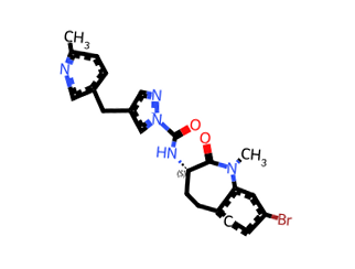 Cc1ccc(Cc2cnn(C(=O)N[C@H]3CCc4ccc(Br)cc4N(C)C3=O)c2)cn1